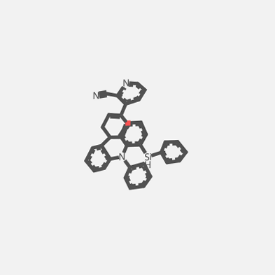 N#Cc1ncccc1C1=CCC(c2ccccc2N2c3ccccc3[SiH](c3ccccc3)c3ccccc32)C=C1